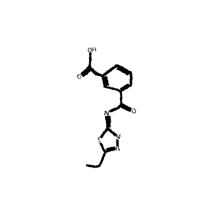 CCC1=N[N]C(=NC(=O)c2cccc(C(=O)O)c2)S1